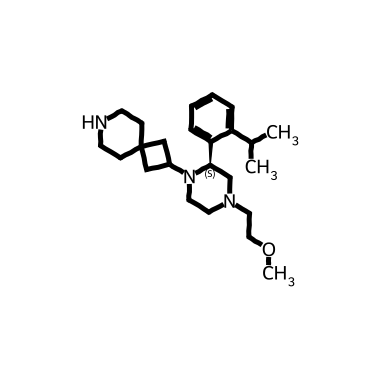 COCCN1CCN(C2CC3(CCNCC3)C2)[C@@H](c2ccccc2C(C)C)C1